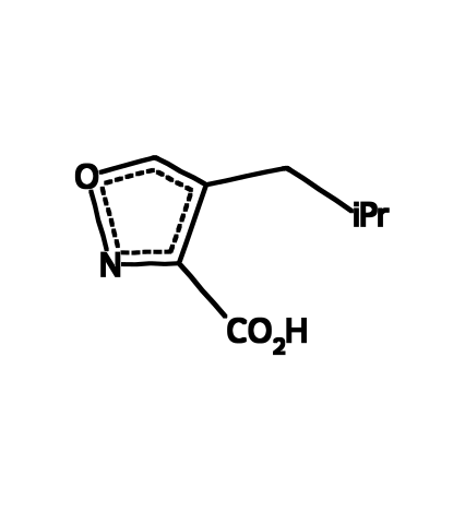 CC(C)Cc1conc1C(=O)O